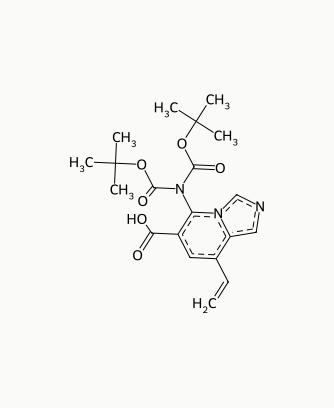 C=Cc1cc(C(=O)O)c(N(C(=O)OC(C)(C)C)C(=O)OC(C)(C)C)n2cncc12